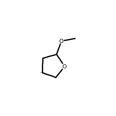 COC1C[CH]CO1